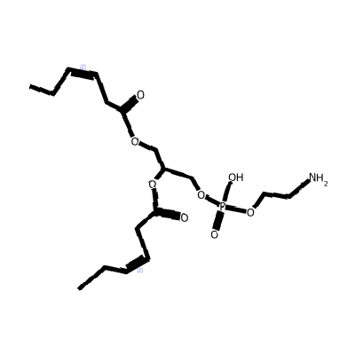 CC/C=C\CC(=O)OCC(COP(=O)(O)OCCN)OC(=O)C/C=C\CC